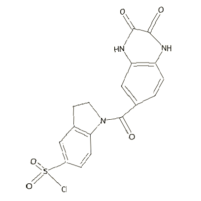 O=C(c1ccc2[nH]c(=O)c(=O)[nH]c2c1)N1CCc2cc(S(=O)(=O)Cl)ccc21